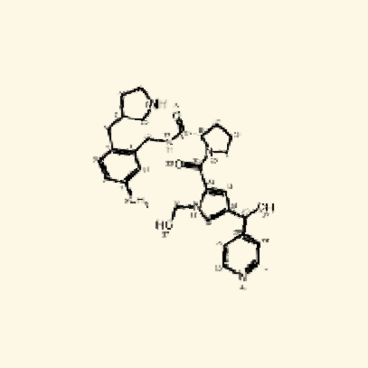 Cc1ccc(CC2CCNC2)c(CNC(=O)[C@@H]2CCCN2C(=O)c2cc(C(O)c3ccncc3)cn2CO)c1